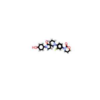 O=C1OCCCN1c1ccc(N2CCCC3(CCN(C4CCC(O)CC4)C3=O)C2)c(F)c1